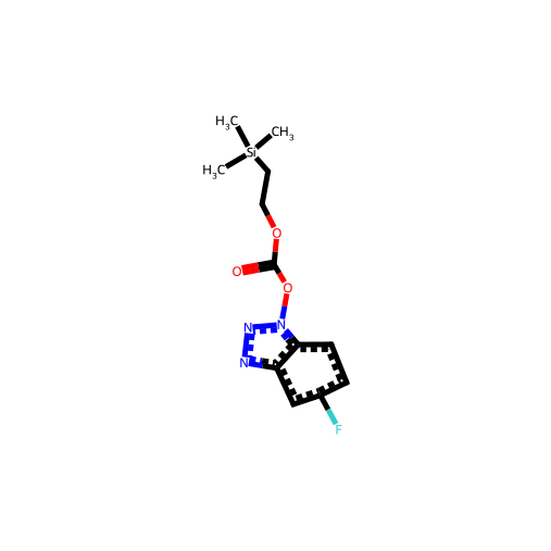 C[Si](C)(C)CCOC(=O)On1nnc2cc(F)ccc21